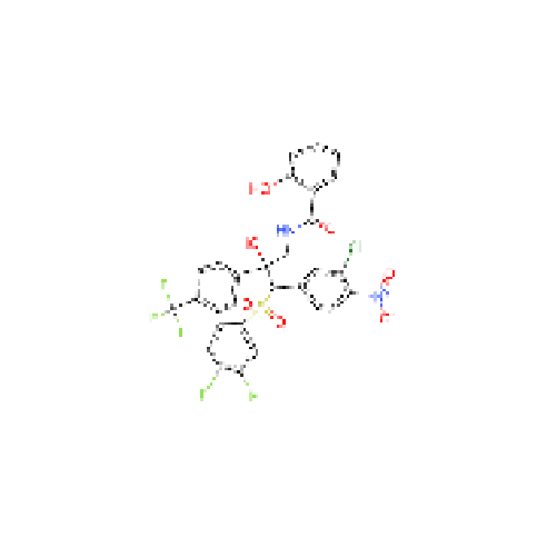 O=C(NCC(O)(c1ccc(C(F)(F)F)cc1)C(c1ccc([N+](=O)[O-])c(Cl)c1)S(=O)(=O)c1ccc(F)c(F)c1)c1ccccc1O